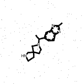 Cc1nc2cc(C(C)N3CCC4(CCNC4)C3)ccc2s1